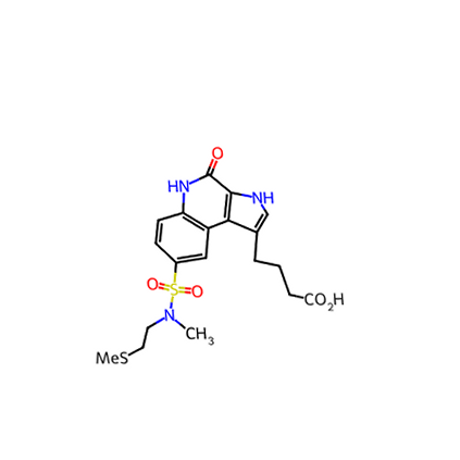 CSCCN(C)S(=O)(=O)c1ccc2[nH]c(=O)c3[nH]cc(CCCC(=O)O)c3c2c1